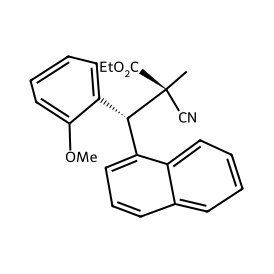 CCOC(=O)[C@@](C)(C#N)[C@@H](c1ccccc1OC)c1cccc2ccccc12